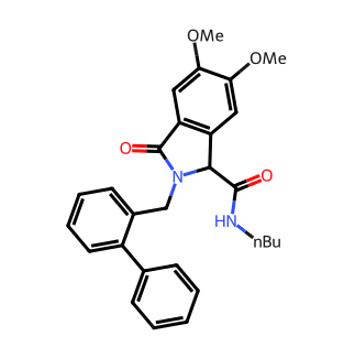 CCCCNC(=O)C1c2cc(OC)c(OC)cc2C(=O)N1Cc1ccccc1-c1ccccc1